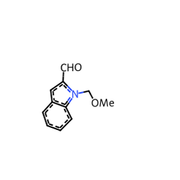 COCn1c(C=O)cc2ccccc21